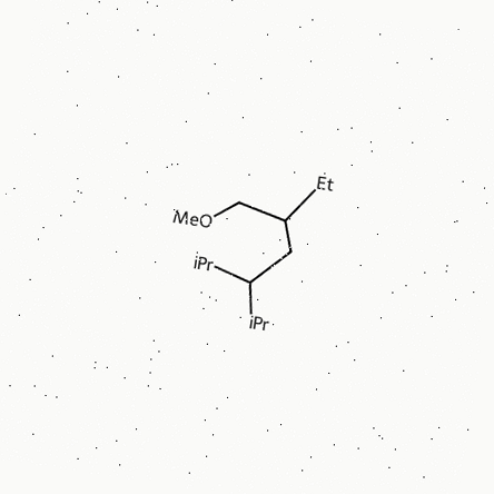 CCC(COC)CC(C(C)C)C(C)C